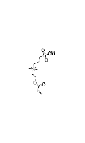 C=CC(=O)OCC[N+](C)(C)CCCS(=O)(=O)O